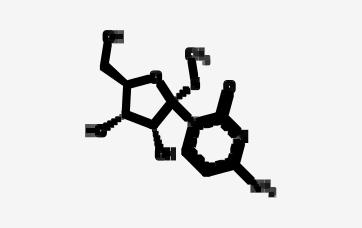 CS[C@@]1(n2ccc(N)nc2=O)O[C@H](CO)[C@@H](O)[C@H]1O